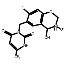 O=c1cc(C(F)(F)F)[nH]c(=O)n1Cc1cc2c(cc1F)OC[NH+]([O-])C2O